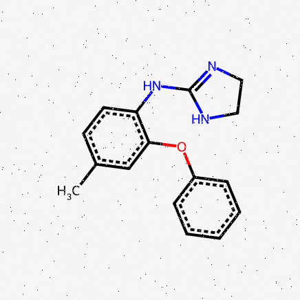 Cc1ccc(NC2=NCCN2)c(Oc2ccccc2)c1